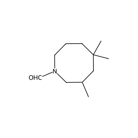 CC1CN(C=O)CCCC(C)(C)C1